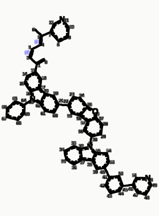 C=C(/C=C\C=C(/C)c1cccnc1)c1ccc2c(c1)c1cc(-c3ccc4oc5ccc(-n6c7ccccc7c7cc(-c8cccc(-c9cccnc9)c8)ccc76)cc5c4c3)ccc1n2-c1ccccc1